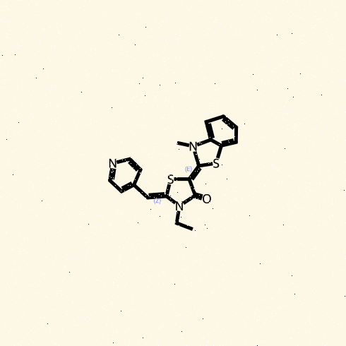 CCn1c(=O)/c(=C2\Sc3ccccc3N2C)s/c1=C\c1ccncc1